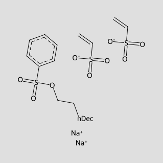 C=CS(=O)(=O)[O-].C=CS(=O)(=O)[O-].CCCCCCCCCCCCOS(=O)(=O)c1ccccc1.[Na+].[Na+]